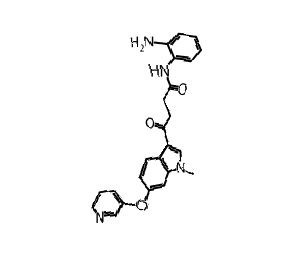 Cn1cc(C(=O)CCC(=O)Nc2ccccc2N)c2ccc(Oc3cccnc3)cc21